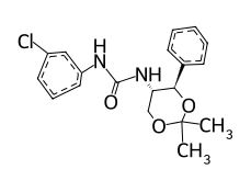 CC1(C)OC[C@H](NC(=O)Nc2cccc(Cl)c2)[C@@H](c2ccccc2)O1